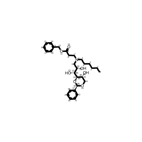 CCCCCCN(CCC(=O)OCc1ccccc1)C[C@H](O)[C@@H](O)[C@@H]1O[C@H](c2ccccc2)OC[C@H]1O